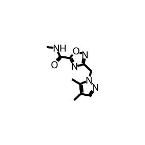 CNC(=O)c1nc(Cn2ncc(C)c2C)no1